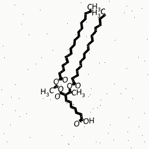 CCCCCCCCCCCCCCCCCC(=O)OC(C)OC(=O)C(CCCCCCC(=O)O)C(C)OC(=O)CCCCCCCCCCCCCCCCC